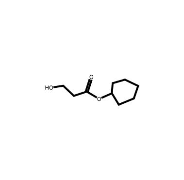 O=C(CCO)OC1CCCCC1